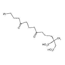 CC(C)CCCC(=O)CCCC(=O)CCCC(C)(CS(=O)(=O)O)S(=O)(=O)O